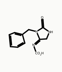 O=C(O)N=C1CNC(=O)N1Cc1ccccc1